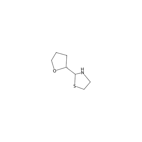 C1CO[C](C2NCCS2)C1